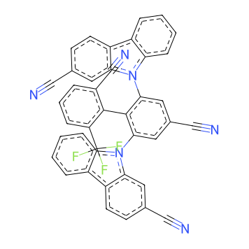 N#Cc1cc(-n2c3ccccc3c3ccc(C#N)cc32)c(-c2c(C#N)cccc2C(F)(F)F)c(-n2c3ccccc3c3ccc(C#N)cc32)c1